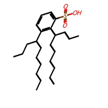 CCCCCCC(CCC)c1cccc(S(=O)(=O)O)c1C(CCC)CCCCCC